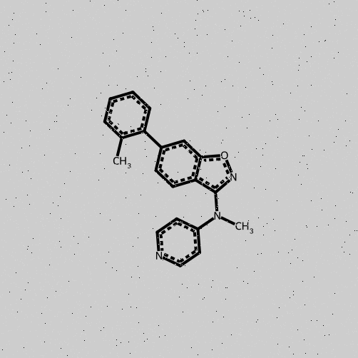 Cc1ccccc1-c1ccc2c(N(C)c3ccncc3)noc2c1